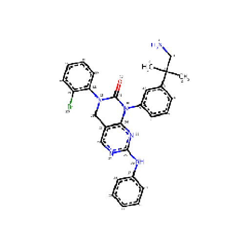 CC(C)(CN)c1cccc(N2C(=O)N(c3ccccc3Br)Cc3cnc(Nc4ccccc4)nc32)c1